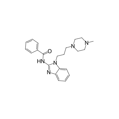 CN1CCN(CCCn2c(NC(=O)c3ccccc3)nc3ccccc32)CC1